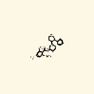 COc1cc(C(F)(F)F)cc(C(F)(F)F)c1C(=O)NC1CCCN(C2CCOCC2c2ccccc2)C1